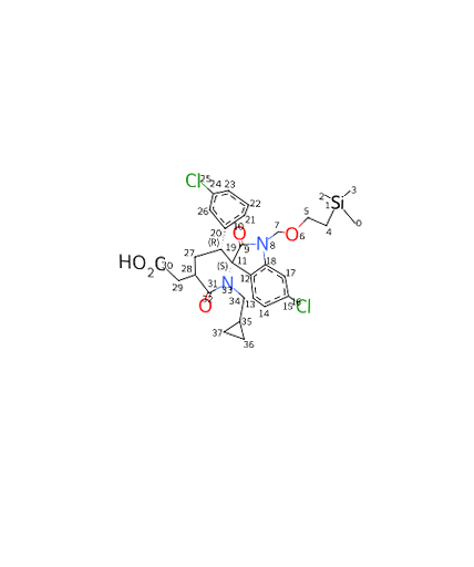 C[Si](C)(C)CCOCN1C(=O)[C@@]2(c3ccc(Cl)cc31)[C@@H](c1cccc(Cl)c1)CC(CC(=O)O)C(=O)N2CC1CC1